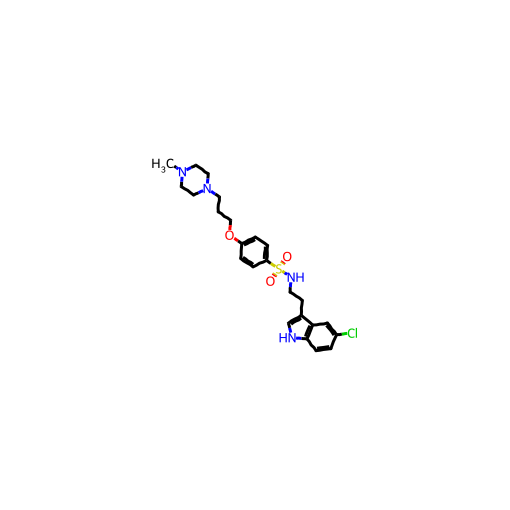 CN1CCN(CCCOc2ccc(S(=O)(=O)NCCc3c[nH]c4ccc(Cl)cc34)cc2)CC1